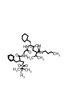 CCCCNC(=O)C(C[C@H](O)[C@H](CC1CCCCC1)NC(=O)CNC(=O)C(Cc1ccccc1)CS(=O)(=O)C(C)(C)C)C(C)C